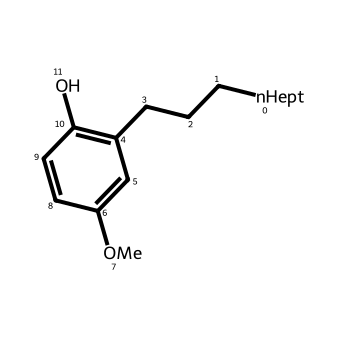 CCCCCCCCCCc1cc(OC)ccc1O